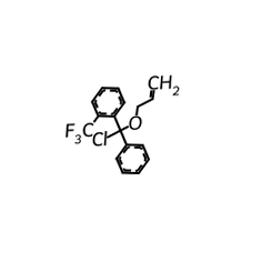 C=CCOC(Cl)(c1ccccc1)c1ccccc1C(F)(F)F